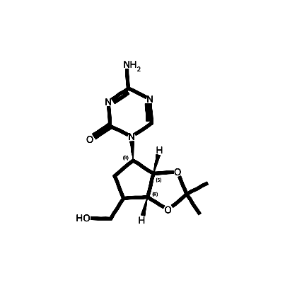 CC1(C)O[C@@H]2[C@H](O1)C(CO)C[C@H]2n1cnc(N)nc1=O